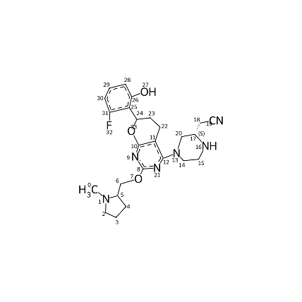 CN1CCCC1COc1nc2c(c(N3CCN[C@@H](CC#N)C3)n1)CCC(c1c(O)cccc1F)O2